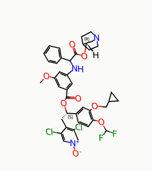 COc1cc(NC(C(=O)O[C@H]2CN3CCC2CC3)c2ccccc2)cc(C(=O)O[C@@H](Cc2c(Cl)c[n+]([O-])cc2Cl)c2ccc(OC(F)F)c(OCC3CC3)c2)c1